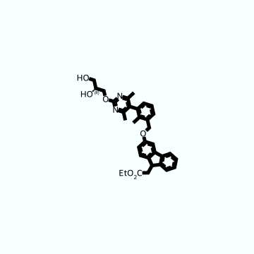 CCOC(=O)CC1c2ccccc2-c2cc(OCc3cccc(-c4c(C)nc(OC[C@H](O)CO)nc4C)c3C)ccc21